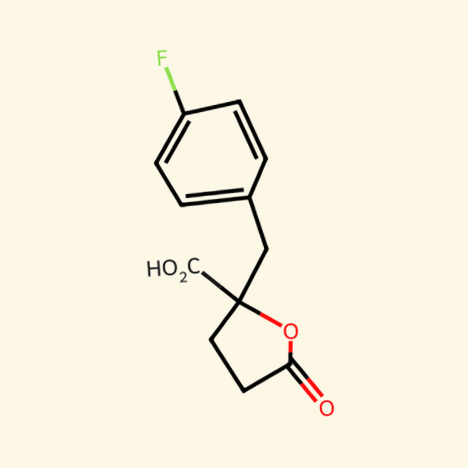 O=C1CCC(Cc2ccc(F)cc2)(C(=O)O)O1